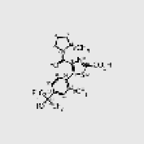 CC1CCCN1C(=O)c1nc(C(=O)O)sc1-c1ccc(C(O)(C(F)(F)F)C(F)(F)F)cc1C(F)(F)F